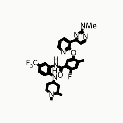 CNc1nccc(-c2cccnc2Oc2cc(C(=O)Nc3cc(C(F)(F)F)ccc3NC3CCN(C)C(C)C3)c(F)cc2C)n1